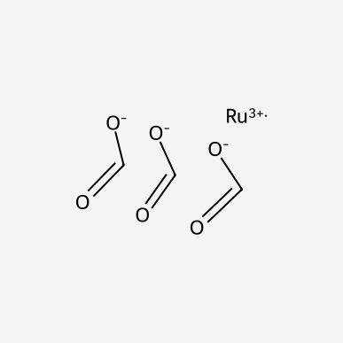 O=C[O-].O=C[O-].O=C[O-].[Ru+3]